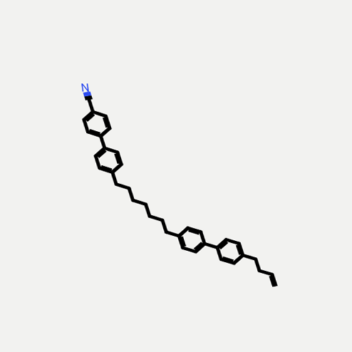 C=CCCc1ccc(-c2ccc(CCCCCCCc3ccc(-c4ccc(C#N)cc4)cc3)cc2)cc1